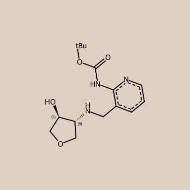 CC(C)(C)OC(=O)Nc1ncccc1CN[C@@H]1COC[C@H]1O